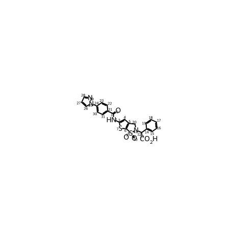 O=C(Nc1cc2c(s1)S(=O)(=O)N(C(C(=O)O)c1ccccc1)C2)c1ccc(-n2cccn2)cc1